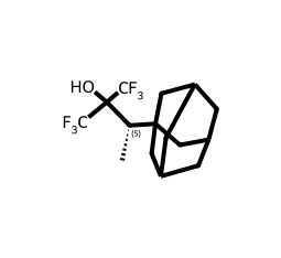 C[C@@H](C12CC3CC(CC(C3)C1)C2)C(O)(C(F)(F)F)C(F)(F)F